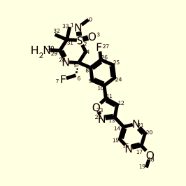 CN=S1(=O)C[C@@](CF)(c2cc(-c3cc(-c4cnc(OC)cn4)no3)ccc2F)N=C(N)C1(C)C